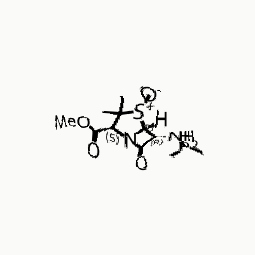 COC(=O)[C@@H]1N2C(=O)[C@@H](N[PH2](C)C)[C@H]2[S+]([O-])C1(C)C